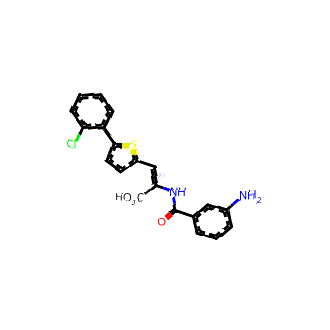 Nc1cccc(C(=O)N/C(=C/c2ccc(-c3ccccc3Cl)s2)C(=O)O)c1